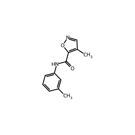 Cc1cccc(NC(=O)c2oncc2C)c1